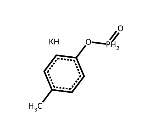 Cc1ccc(O[PH2]=O)cc1.[KH]